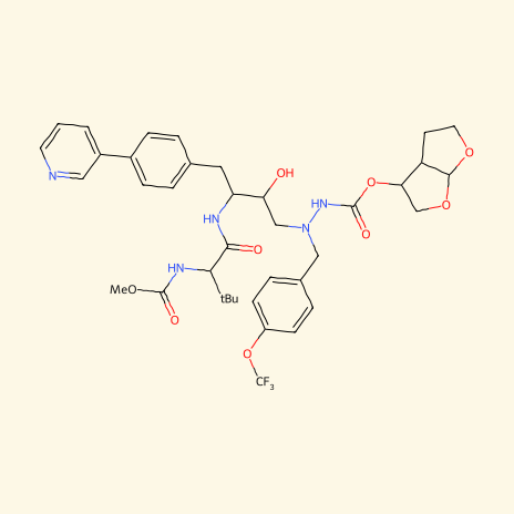 COC(=O)NC(C(=O)NC(Cc1ccc(-c2cccnc2)cc1)C(O)CN(Cc1ccc(OC(F)(F)F)cc1)NC(=O)OC1COC2OCCC12)C(C)(C)C